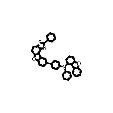 c1ccc(-c2nc3c(ccc4oc5ccc(-c6ccc(N(c7ccccc7)c7cccc8oc9ccccc9c78)cc6)cc5c43)s2)cc1